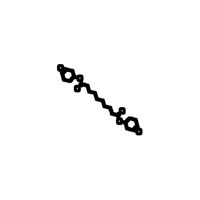 O=C(CCCCCCCCC(=O)OC1CCC2OC2C1)OC1CCC2OC2C1